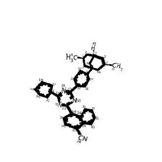 C[C@@H]1C[C@@H]2C[C@H](C)CC(c3ccc(-c4nc(-c5ccccc5)nc(-c5ccc(C#N)c6ccccc56)n4)cc3)(C1)C2